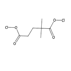 CC(C)(CCC(=O)OCl)C(=O)OCl